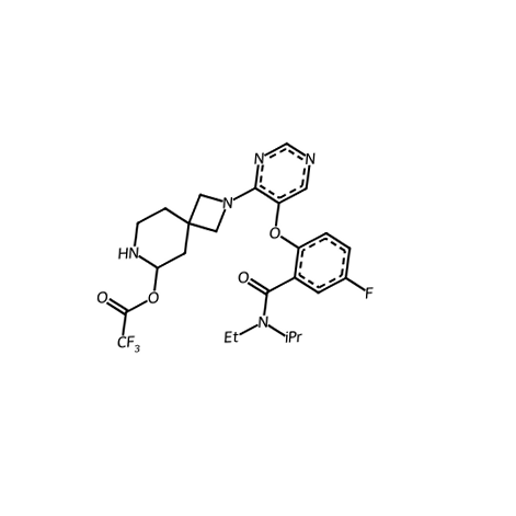 CCN(C(=O)c1cc(F)ccc1Oc1cncnc1N1CC2(CCNC(OC(=O)C(F)(F)F)C2)C1)C(C)C